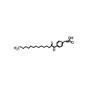 CCCCCCCCCCCCCC(=S)Nc1ccc(CC[PH](=O)O)cc1